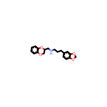 c1ccc2c(c1)OCC(CNCCCc1ccc3c(c1)OCO3)O2